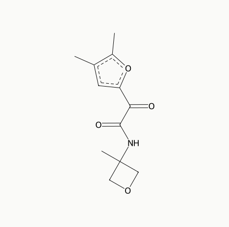 Cc1cc(C(=O)C(=O)NC2(C)COC2)oc1C